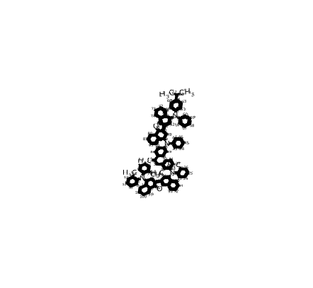 Cc1ccccc1N(c1ccccc1C)c1cc2c3cc(N(c4ccccc4C)c4cccc(CC(C)c5ccc(N(c6ccccc6)c6cc7c8cc(N(c9ccccc9)c9ccc(C(C)C)cc9)c9ccccc9c8oc7c7ccccc67)cc5)c4C)c4ccccc4c3oc2c2ccccc12